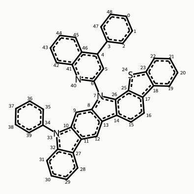 c1ccc(-c2cc(-n3c4cc5c(cc4c4ccc6c7ccccc7sc6c43)c3ccccc3n5-c3ccccc3)nc3ccccc23)cc1